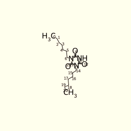 CCCCCCCn1c(=O)[nH]c(=O)n(CCCCCCC)c1=O